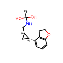 CCC(O)(O)NC[C@@H]1C[C@H]1c1cccc2c1CCO2